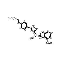 CCOC(=O)COc1ccc(-c2nnc(N(SF)c3nc4c(OC)cccc4s3)o2)cc1